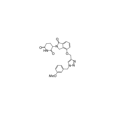 COc1cccc(Cn2cc(COc3cccc4c3CN(C3CCC(=O)NC3=O)C4=O)nn2)c1